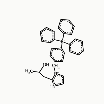 CC(O)Cc1[nH]cc[n+]1C.c1ccc([B-](c2ccccc2)(c2ccccc2)c2ccccc2)cc1